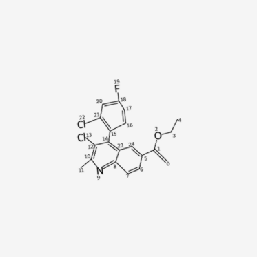 C=C(OCC)c1ccc2nc(C)c(Cl)c(-c3ccc(F)cc3Cl)c2c1